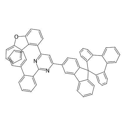 c1ccc(-c2ccccc2-c2nc(-c3ccc4c(c3)-c3ccccc3C43c4ccccc4-c4ccccc4-c4ccccc43)cc(-c3cccc4oc5ccccc5c34)n2)cc1